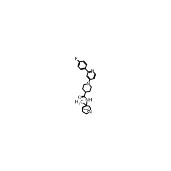 CC1(NC(=O)C2CCN(c3ccnc(-c4ccc(F)cc4)c3)CC2)CCN2CCC1CC2